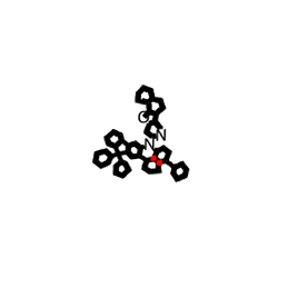 c1ccc(-c2ccc(N(c3cc4oc5c6ccccc6ccc5c4cn3)c3cc4c(cc3-c3ccccc3)C(c3ccccc3)(c3ccccc3)c3ccccc3-4)cc2)cc1